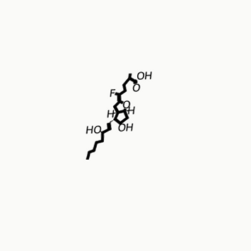 CCCCC[C@H](O)/C=C/[C@@H]1[C@H]2C/C(=C(\F)CCC(C)C(=O)O)O[C@H]2C[C@H]1O